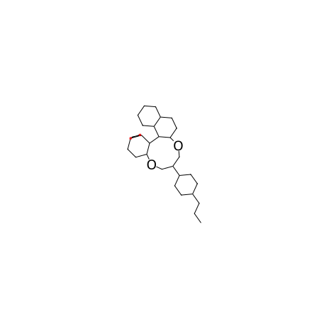 CCCC1CCC(C2COC3CCC4CCCCC4C3C3C(CCC4CCCCC43)OC2)CC1